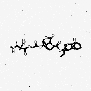 CCC1(OC(=O)C2C3CC4C(OC(=O)C42)C3OC(=O)COC(=O)C(N)(I)[C@H](C)NI)CC2CC1C1C3CC[C@@H](C3)C21